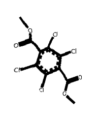 COC(=O)c1c(Cl)c(Cl)c(C(=O)OC)c(Cl)c1Cl